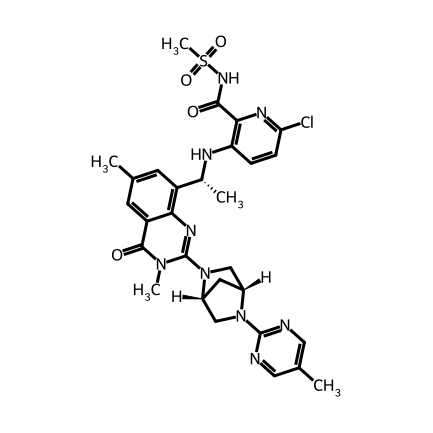 Cc1cnc(N2C[C@H]3C[C@@H]2CN3c2nc3c([C@@H](C)Nc4ccc(Cl)nc4C(=O)NS(C)(=O)=O)cc(C)cc3c(=O)n2C)nc1